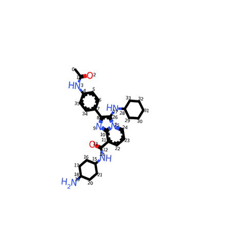 CC(=O)Nc1ccc(-c2nc3c(C(=O)NC4CCC(N)CC4)cccn3c2NC2CCCCC2)cc1